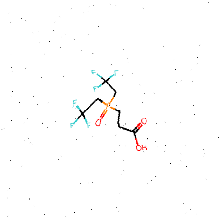 O=C(O)CCP(=O)(CC(F)(F)F)CC(F)(F)F